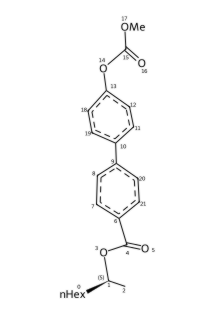 CCCCCC[C@H](C)OC(=O)c1ccc(-c2ccc(OC(=O)OC)cc2)cc1